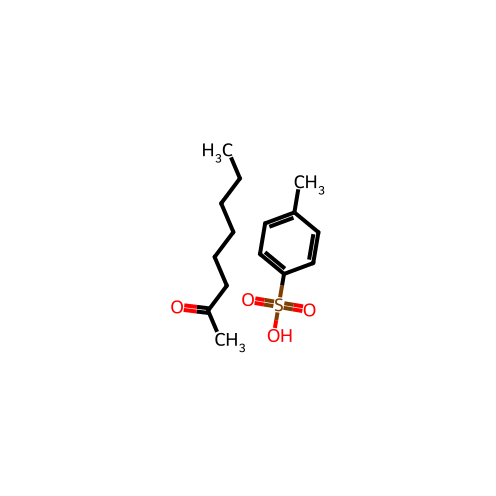 CCCCCCC(C)=O.Cc1ccc(S(=O)(=O)O)cc1